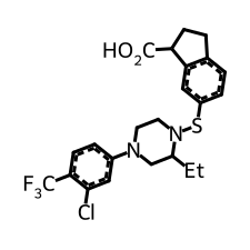 CCC1CN(c2ccc(C(F)(F)F)c(Cl)c2)CCN1Sc1ccc2c(c1)C(C(=O)O)CC2